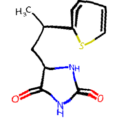 CC(CC1NC(=O)NC1=O)c1cccs1